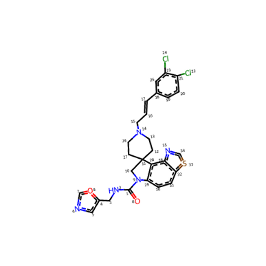 O=C(NCc1cnco1)N1CC2(CCN(C/C=C/c3ccc(Cl)c(Cl)c3)CC2)c2c1ccc1scnc21